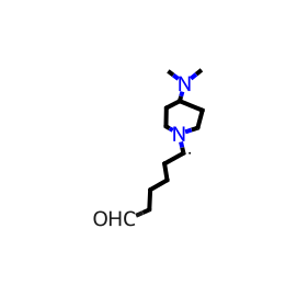 CN(C)C1CCN([CH]CCCCC=O)CC1